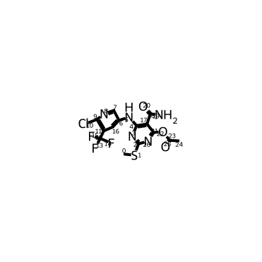 CSc1nc(Nc2cnc(Cl)c(C(F)(F)F)c2)c(C(N)=O)c(OC(C)=O)n1